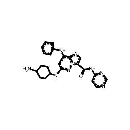 NC1CCC(Nc2cc(Nc3ccccc3)c3ncc(C(=O)Nc4ccncn4)n3n2)CC1